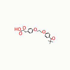 CO[C@@H](Cc1ccc(OCCCOc2ccc(C(=O)C(C)(C)C)cc2)cc1)C(=O)O